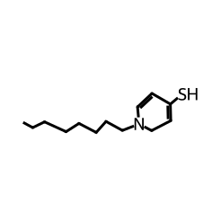 CCCCCCCCN1C=CC(S)=CC1